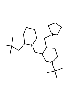 CC(C)(C)CC1CCCCN1CC1CN(C(C)(C)C)CCC1CN1CCCC1